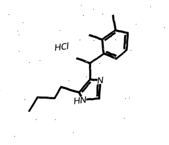 CCCCc1[nH]cnc1C(C)c1cccc(C)c1C.Cl